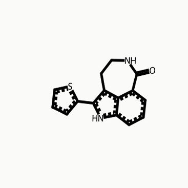 O=C1NCCc2c(-c3cccs3)[nH]c3cccc1c23